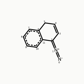 [N-]=[N+]=C1C=CCc2ccccc21